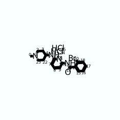 CN1CCC(Nc2cccc(NC(=O)c3ccccc3Br)n2)CC1.Cl.Cl